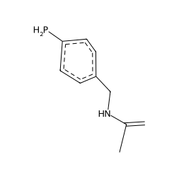 C=C(C)NCc1ccc(P)cc1